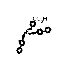 O=C(O)c1ccc(CCN(CC#Cc2ccc(-c3ccccc3)cc2)CC#Cc2ccc(-c3ccccc3)cc2)cc1